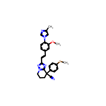 COc1cc(C=Cc2nc3n(n2)CCCC3(C#N)c2ccc(SC)cc2)ccc1-n1cnc(C)c1